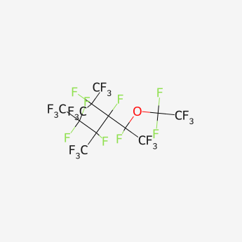 FC(F)(F)C(F)(F)OC(F)(C(F)(F)F)C(F)(C(F)(C(F)(F)F)C(F)(F)F)C(F)(C(F)(F)F)C(F)(F)C(F)(F)F